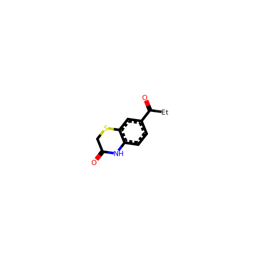 CCC(=O)c1ccc2c(c1)SCC(=O)N2